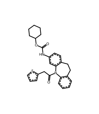 O=C(Nc1ccc2c(c1)N(C(=O)Cc1cccs1)c1ccccc1CC2)OC1CCCCC1